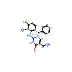 Cc1c(Cl)cccc1Nc1nc(=O)c(C=N)cn1Cc1ccccc1